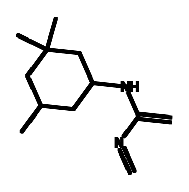 C=NC(=C)NC1CC(C)CC(C)(C)C1